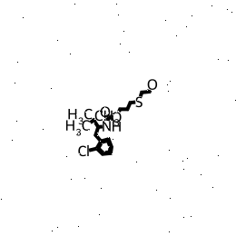 CC(C)(C)C(Cc1ccccc1Cl)NC(=O)OCCCSCC=O